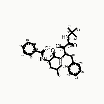 CC(C)CC(NC(=O)c1ccccc1)C(=O)NC(Cc1ccccc1)C(=O)C(=O)NC(C)(C)C